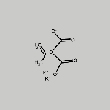 C=CC.O=C([O-])OC(=O)[O-].[K+].[K+]